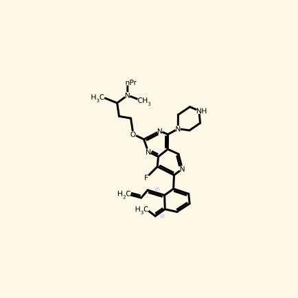 C=C/C=c1/c(-c2ncc3c(N4CCNCC4)nc(OCCC(C)N(C)CCC)nc3c2F)ccc/c1=C/C